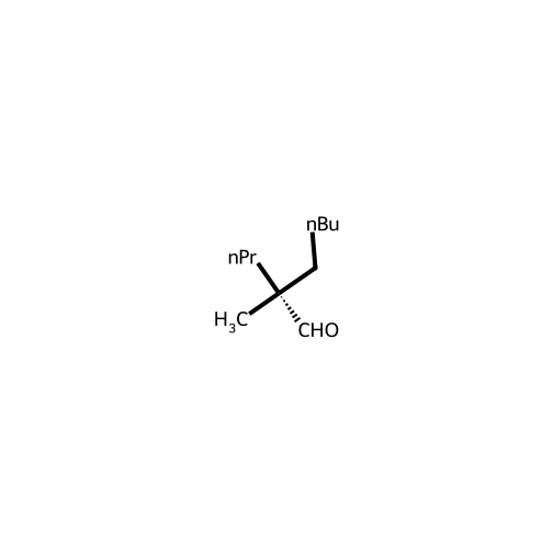 CCCCC[C@](C)(C=O)CCC